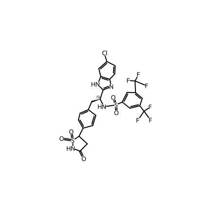 O=C1CC(c2ccc(C[C@H](NS(=O)(=O)c3cc(C(F)(F)F)cc(C(F)(F)F)c3)c3nc4ccc(Cl)cc4[nH]3)cc2)S(=O)(=O)N1